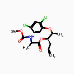 C=CC[C@@H](OC(=O)C(C)NC(=O)OC(C)(C)C)[C@H](C)Oc1ccc(Cl)cc1Cl